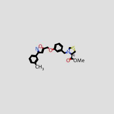 COC(=O)[C@@H]1CSCN1Cc1cccc(OCc2cc(-c3cccc(C)c3)no2)c1